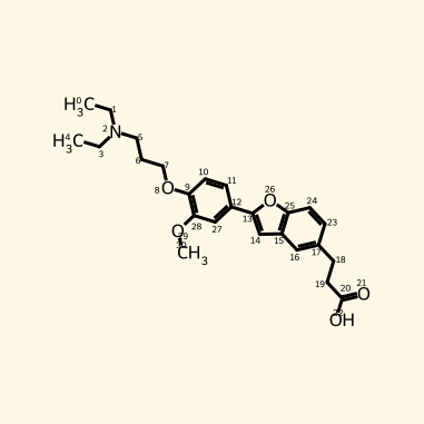 CCN(CC)CCCOc1ccc(-c2cc3cc(CCC(=O)O)ccc3o2)cc1OC